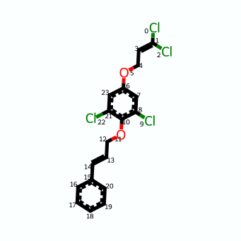 ClC(Cl)=CCOc1cc(Cl)c(OC/C=C/c2ccccc2)c(Cl)c1